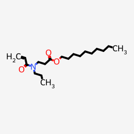 C=CC(=O)N(CCC)CCC(=O)OCCCCCCCCCC